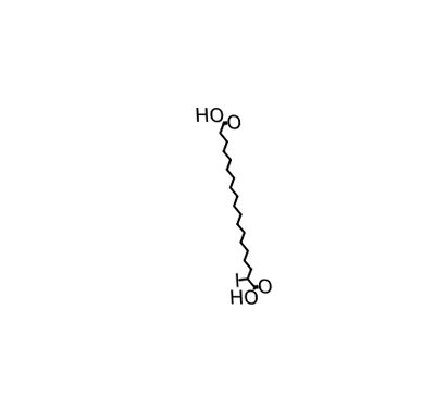 O=C(O)CCCCCCCCCCCCCCCCC(I)C(=O)O